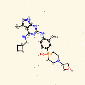 COc1cc([PH]2(O)CCN(C3COC3)CC2)ccc1Nc1nc(NCC2CCC2)c2c(C#N)c[nH]c2n1